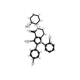 Cc1c2c(n(-c3ccccc3Cl)c1-c1ccc(Cl)cc1)CCN([C@H]1CCCC[C@@H]1O)C2=O